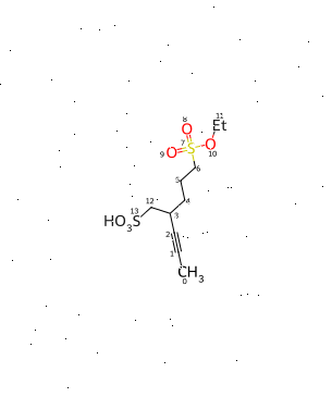 CC#CC(CCCS(=O)(=O)OCC)CS(=O)(=O)O